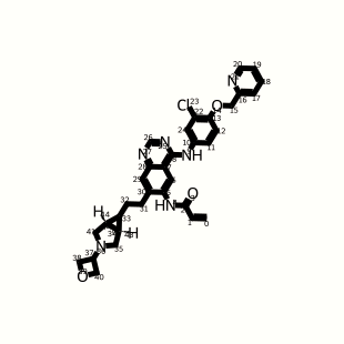 C=CC(=O)Nc1cc2c(Nc3ccc(OCc4ccccn4)c(Cl)c3)ncnc2cc1CCC1[C@H]2CN(C3COC3)C[C@@H]12